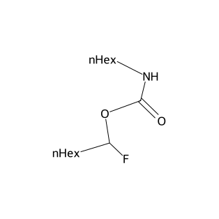 CCCCCCNC(=O)OC(F)CCCCCC